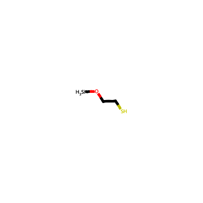 [SiH3]OCCS